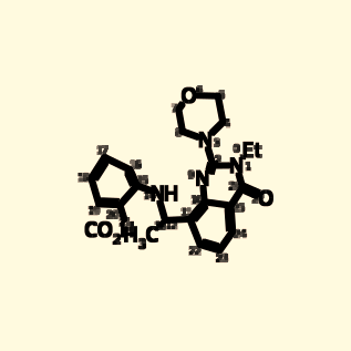 CCn1c(N2CCOCC2)nc2c([C@@H](C)Nc3ccccc3C(=O)O)cccc2c1=O